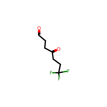 O=CCCC(=O)CCC(F)(F)F